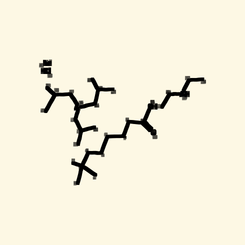 CC(C)(C)CCCCCC(=O)O.CC(C)[CH2][Al]([CH2]C(C)C)[CH2]C(C)C.C[CH2][AlH][CH2]C.Cl.[Nd]